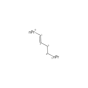 [CH2]CCC=CCCCC[CH2]